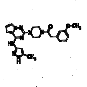 COc1cccc(CC(=O)N2CCN(c3nc(Nc4cc(C)[nH]n4)c4cccn4n3)CC2)c1